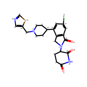 O=C1CCC(N2Cc3c(cc(F)cc3C3CCN(Cc4cncs4)CC3)C2=O)C(=O)N1